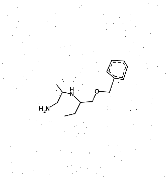 CCC(COCc1ccccc1)NC(C)CN